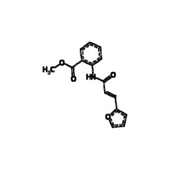 COC(=O)c1ccccc1NC(=O)C=Cc1ccco1